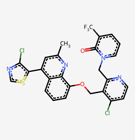 Cc1cc(-c2scnc2Cl)c2cccc(OCc3c(Cl)ccnc3Cn3cccc(C(F)(F)F)c3=O)c2n1